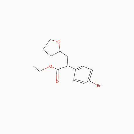 CCOC(=O)C(CC1CCCO1)c1ccc(Br)cc1